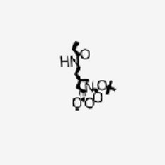 C=CC(=O)NCCC1C[C@@H](C(=O)OC)N(C(=O)OC(C)(C)C)C1